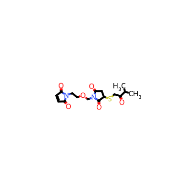 CC(C)C(=O)CSC1CC(=O)N(COCCN2C(=O)C=CC2=O)C1=O